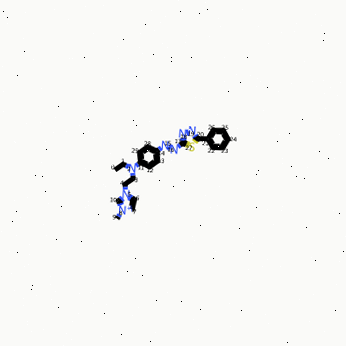 CCN(CCn1cc[n+](C)c1)c1ccc(N=Nc2nnc(-c3ccccc3)s2)cc1